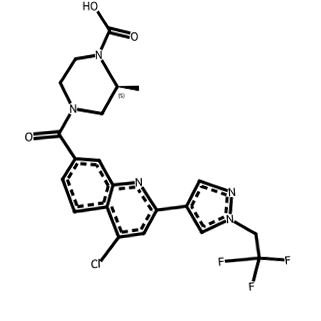 C[C@H]1CN(C(=O)c2ccc3c(Cl)cc(-c4cnn(CC(F)(F)F)c4)nc3c2)CCN1C(=O)O